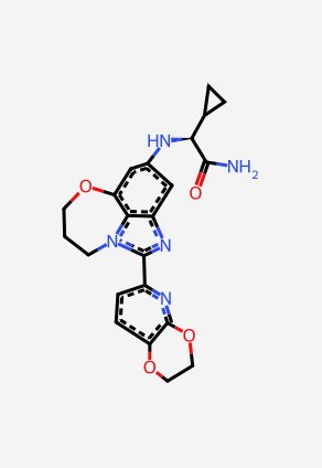 NC(=O)[C@@H](Nc1cc2c3c(c1)nc(-c1ccc4c(n1)OCCO4)n3CCCO2)C1CC1